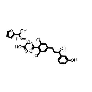 O=C(N[C@@H](CNC(O)c1cccs1)C(=O)O)c1c(Cl)cc(CCC(O)c2cccc(O)c2)cc1Cl